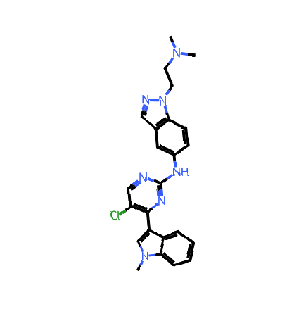 CN(C)CCn1ncc2cc(Nc3ncc(Cl)c(-c4cn(C)c5ccccc45)n3)ccc21